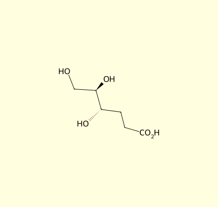 O=C(O)CC[C@H](O)[C@H](O)CO